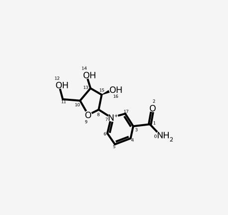 NC(=O)c1ccc[n+](C2OC(CO)C(O)[C@H]2O)c1